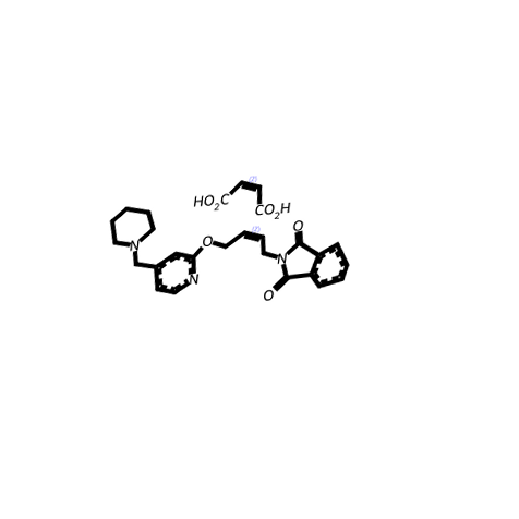 O=C(O)/C=C\C(=O)O.O=C1c2ccccc2C(=O)N1C/C=C\COc1cc(CN2CCCCC2)ccn1